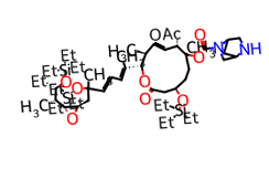 CC[C@H](O[Si](CC)(CC)CC)[C@@H](C)[C@H]1O[C@@H]1CC(C)(/C=C/C=C(\C)[C@H]1OC(=O)C[C@H](O[Si](CC)(CC)CC)CC[C@@](C)(OC(=O)N2CC3CC2CN3)[C@@H](OC(C)=O)/C=C/[C@@H]1C)O[Si](CC)(CC)CC